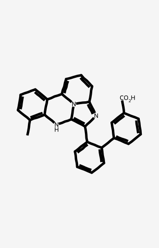 Cc1cccc2c1Nc1c(-c3ccccc3-c3cccc(C(=O)O)c3)nc3cccc-2n13